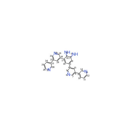 N=C1C=C(c2cncc(-c3cccnc3)c2)C=C(c2cncc(-c3cccnc3)c2)C1=N